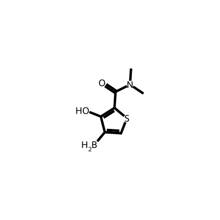 Bc1csc(C(=O)N(C)C)c1O